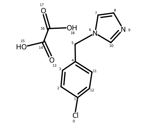 Clc1ccc(Cn2ccnc2)cc1.O=C(O)C(=O)O